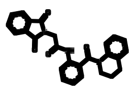 O=C(CN1C(=O)c2ccccc2C1=O)Nc1ccccc1C(=O)N1CCCc2ccccc21